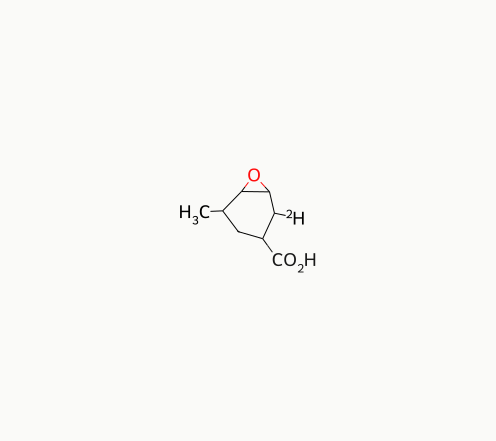 [2H]C1C(C(=O)O)CC(C)C2OC12